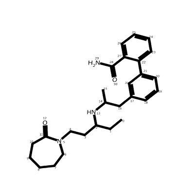 CCC(CCN1CCCCCC1=O)NC(C)Cc1cccc(-c2ccccc2C(N)=O)c1